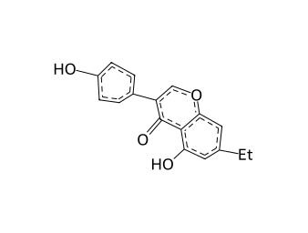 CCc1cc(O)c2c(=O)c(-c3ccc(O)cc3)coc2c1